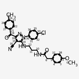 COc1ccc(CC(=O)NCCCNc2c(C#N)c(C(=O)c3ccc(C)cc3)nn2-c2ccc(Cl)cc2)cc1